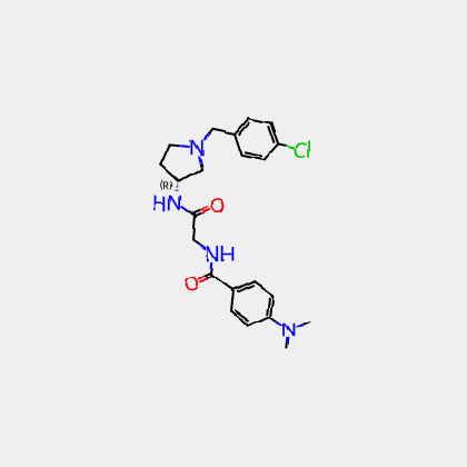 CN(C)c1ccc(C(=O)NCC(=O)N[C@@H]2CCN(Cc3ccc(Cl)cc3)C2)cc1